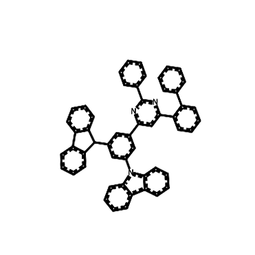 c1ccc(-c2nc(-c3cc(C4c5ccccc5-c5ccccc54)cc(-n4c5ccccc5c5ccccc54)c3)cc(-c3ccccc3-c3ccccc3)n2)cc1